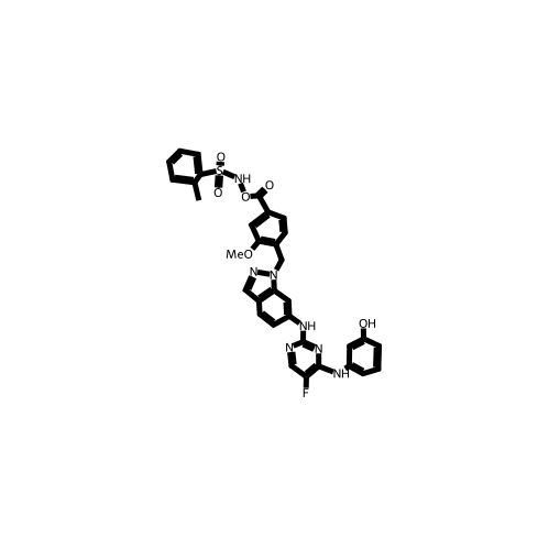 COc1cc(C(=O)ONS(=O)(=O)c2ccccc2C)ccc1Cn1ncc2ccc(Nc3ncc(F)c(Nc4cccc(O)c4)n3)cc21